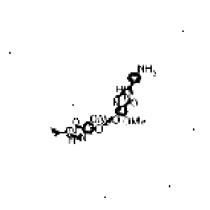 COc1cc2c(cc1OCCCOc1cc3c(cc1OC)C(=O)N1CC(C4CC4)=C[C@H]1C=N3)N=C[C@@H]1C=C(c3ccc(N)cc3)CN1C2=O